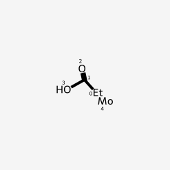 CCC(=O)O.[Mo]